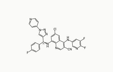 N#Cc1cnc2c(N[C@@H](c3ccc(F)cc3)c3cn(-c4ccncc4)nn3)cc(Cl)cc2c1Nc1cnc(F)c(F)c1